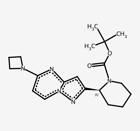 CC(C)(C)OC(=O)N1CCCC[C@H]1c1cc2nc(N3CCC3)ccn2n1